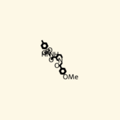 COc1ccc(C(=O)CN2CCC=C(C(=O)NNS(=O)(=O)c3ccc(C)cc3)C2)cc1